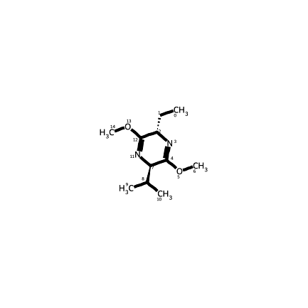 CC[C@@H]1N=C(OC)[C@@H](C(C)C)N=C1OC